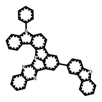 c1ccc(-n2c3ccccc3c3c2ccc2c4cc(-c5ccc6oc7ccccc7c6c5)cc5c6nc7ccccc7nc6n(c45)c23)cc1